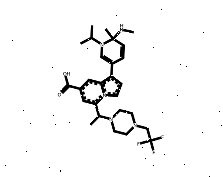 CNC1(C)C=CC(c2ccn3c(C(C)N4CCN(CC(F)(F)F)CC4)cc(C(=O)O)cc23)=CN1C(C)C